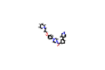 O=C(c1cccc(-c2ccncc2)c1)N1CCN(c2ccc(OCCCN3CCCCC3)cc2)CC1